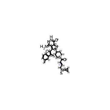 Cc1ccc2oc(-c3c4c(N)n[nH]c(=O)c4nn3C3CCN(C(=O)/C=C/CN(C)C4CC4)CC3)c(C)c2c1